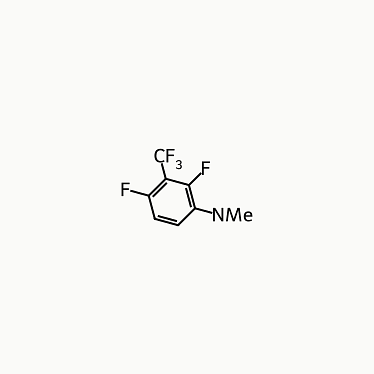 CNc1ccc(F)c(C(F)(F)F)c1F